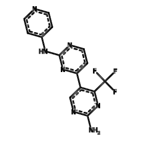 Nc1ncc(-c2ccnc(Nc3ccncc3)n2)c(C(F)(F)F)n1